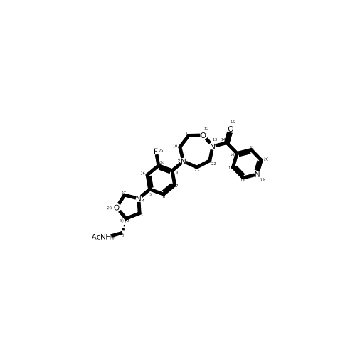 CC(=O)NC[C@H]1CN(c2ccc(N3CCON(C(=O)c4ccncc4)CC3)c(F)c2)CO1